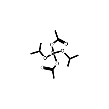 CC(=O)O[Si](OC(C)=O)(OC(C)C)OC(C)C